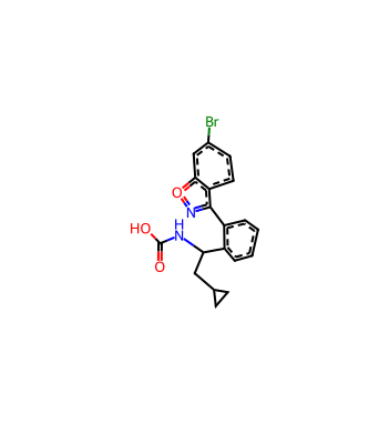 O=C(O)NC(CC1CC1)c1ccccc1-c1noc2cc(Br)ccc12